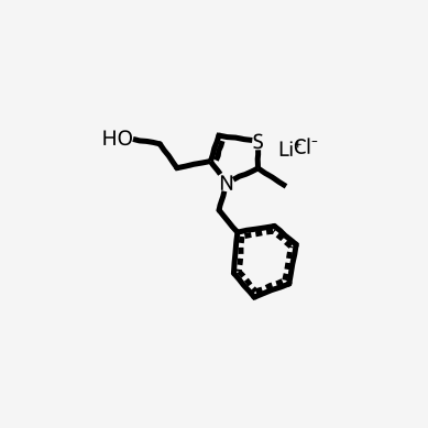 CC1SC=C(CCO)N1Cc1ccccc1.[Cl-].[Li+]